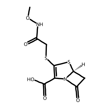 CONC(=O)CSC1=C(C(=O)O)N2C(=O)C[C@@H]2S1